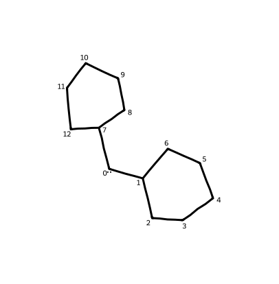 [C](C1CCCCC1)C1CCCCC1